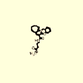 COC(=O)CCCNC(=O)c1cc2c(n(CC3CCCCC3)c1=O)CCCCCC2